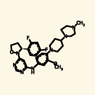 COc1cc(Nc2cc(N3OCC[C@@H]3c3ccc(F)cc3F)ncn2)ccc1N1CCC(N2CCN(C)CC2)CC1